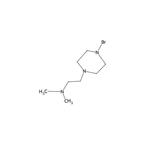 CN(C)CCN1CCN(Br)CC1